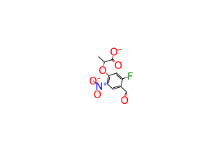 COC(=O)C(C)Oc1cc(F)c(C=O)cc1[N+](=O)[O-]